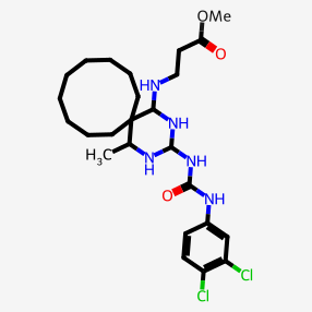 COC(=O)CCNC1NC(NC(=O)Nc2ccc(Cl)c(Cl)c2)NC(C)C12CCCCCCCCC2